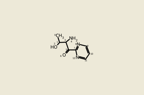 CC(O)C(N)C(=O)c1ncccn1